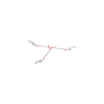 CCCCC[C@H]1CC[C@H](c2ccc(C=CC(=O)OCCCCCCCCCC(=O)OCC(COC(=O)CCCCCCCCCOC(=O)C=Cc3ccc([C@H]4CC[C@H](CCCCC)CC4)cc3)OC(=O)CCCCCCCCCOC(=O)C=Cc3ccc([C@H]4CC[C@H](CCCCC)CC4)cc3)cc2)CC1